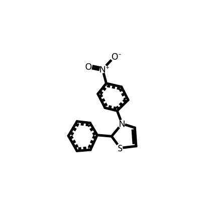 O=[N+]([O-])c1ccc(N2C=CSC2c2ccccc2)cc1